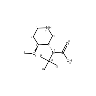 CO[C@H]1CCNC[C@@H]1N(C(=O)O)C(C)(C)C